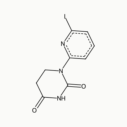 O=C1CCN(c2cccc(I)n2)C(=O)N1